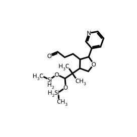 C[SiH2]OC(O[SiH2]C)C(C)(C)C1COC(c2cccnc2)C1CCC=O